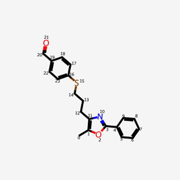 Cc1oc(-c2ccccc2)nc1CCCSc1ccc(C=O)cc1